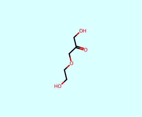 O=C(CO)COCCO